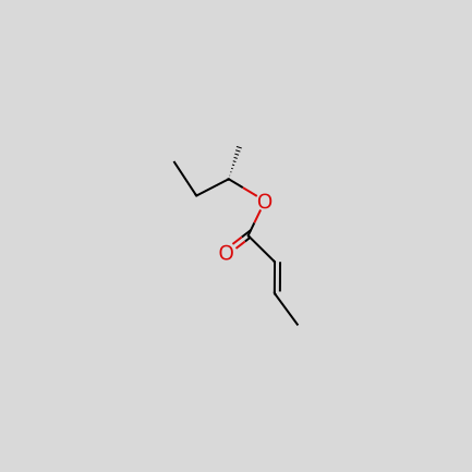 C/C=C/C(=O)O[C@@H](C)CC